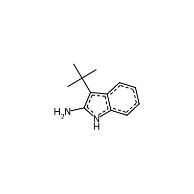 CC(C)(C)c1c(N)[nH]c2ccccc12